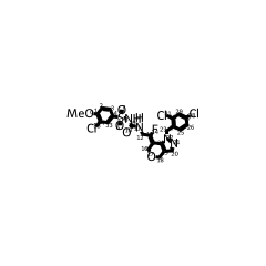 COc1ccc(S(=O)(=O)NC(=O)NCC(F)=C2COCc3cnn(Cc4ccc(Cl)cc4Cl)c32)cc1Cl